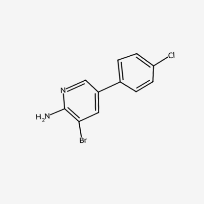 Nc1ncc(-c2ccc(Cl)cc2)cc1Br